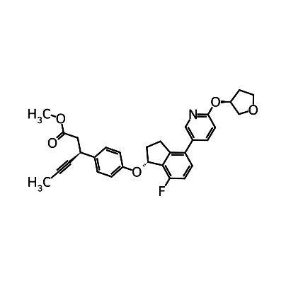 CC#C[C@@H](CC(=O)OC)c1ccc(O[C@@H]2CCc3c(-c4ccc(O[C@H]5CCOC5)nc4)ccc(F)c32)cc1